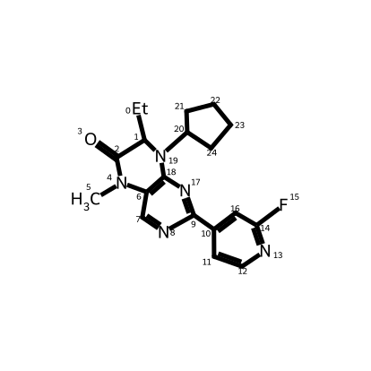 CCC1C(=O)N(C)c2cnc(-c3ccnc(F)c3)nc2N1C1CCCC1